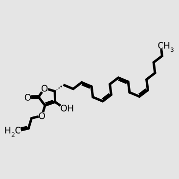 C=CCOC1=C(O)[C@@H](CC/C=C\C/C=C\C/C=C\C/C=C\CCCCC)OC1=O